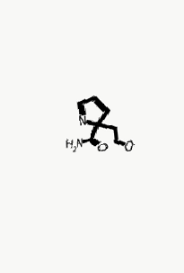 NC(=O)C1(CC[O])C=CC=N1